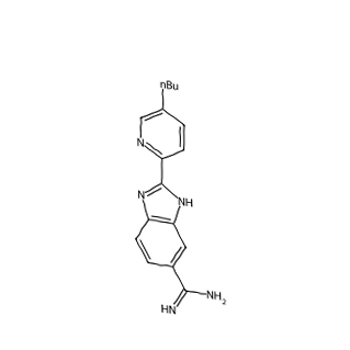 CCCCc1ccc(-c2nc3ccc(C(=N)N)cc3[nH]2)nc1